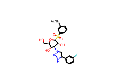 CC(=O)Nc1cccc(S(=O)(=O)[C@@H]2O[C@H](CO)[C@H](O)[C@H](N3CC(c4cccc(F)c4)NN3)[C@H]2O)c1